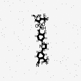 Cn1cc(S(=O)(=O)NCc2ccc(-n3ccc(-c4ccc(C#N)c(C(F)(F)F)c4)n3)cc2F)c(C(F)(F)F)n1